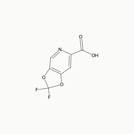 O=C(O)c1cc2c(cn1)OC(F)(F)O2